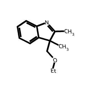 CCOCC1(C)C(C)=Nc2ccccc21